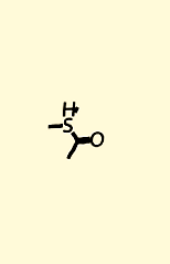 CC(=O)[SH](C)C